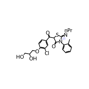 CCC/N=C1\SC(C(=O)c2ccc(OCC(O)CO)c(Cl)c2)C(=O)N1c1ccccc1C